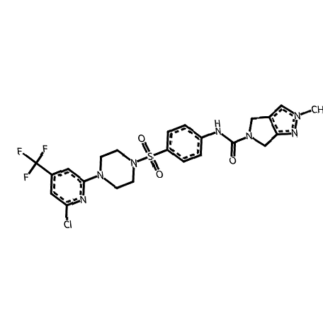 Cn1cc2c(n1)CN(C(=O)Nc1ccc(S(=O)(=O)N3CCN(c4cc(C(F)(F)F)cc(Cl)n4)CC3)cc1)C2